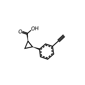 C#Cc1cccc([C@H]2C[C@H]2C(=O)O)c1